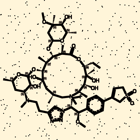 CC[C@H]1OC(=O)[C@H](C)[C@@H](O[C@H]2C[C@@](C)(OC)[C@@H](O)[C@H](C)O2)[C@H](C)[C@@H](O[C@@H]2O[C@H](C)C[C@H](N(C)CCc3cn([C@H](CF)[C@H](OC)c4ccc(C5=CCS(=O)(=O)C5)cc4)nn3)[C@H]2O)[C@](C)(O)C[C@@H](C)CN(C)[C@H](C)[C@@H](O)[C@]1(C)O